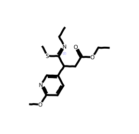 CC/N=C(\SC)C(CC(=O)OCC)c1ccc(OC)nc1